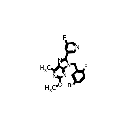 COc1nc(C)c2nc(-c3cncc(F)c3)n(Cc3cc(Br)ccc3F)c2n1